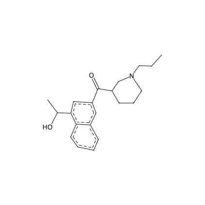 CCCN1CCCC(C(=O)c2cc(C(C)O)c3ccccc3c2)C1